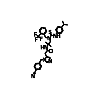 CC(C)c1ccc(NC(=S)N(Cc2ccccc2C(F)(F)F)CC(C)(C)NC(=O)Cc2cncn2Cc2ccc(C#N)cc2)cc1